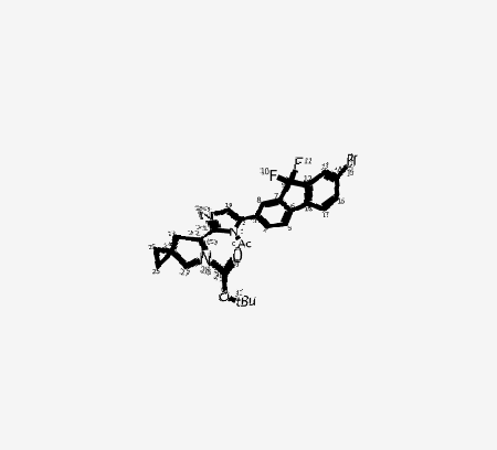 CC(=O)n1c(-c2ccc3c(c2)C(F)(F)c2cc(Br)ccc2-3)cnc1[C@@H]1CC2(CC2)CN1C(=O)OC(C)(C)C